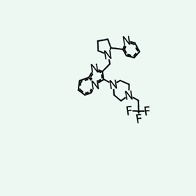 FC(F)(F)CN1CCN(c2c(CN3CCCC3c3ccccn3)nc3ccccn23)CC1